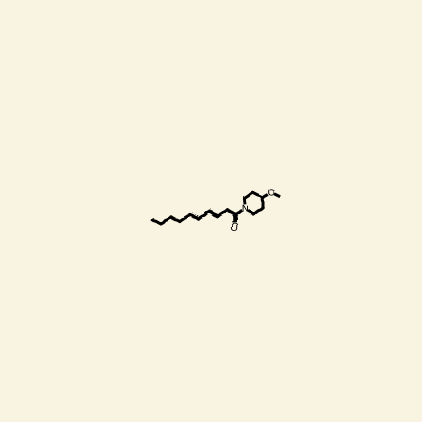 CCCCCCCCCC(=O)N1CCC(OC)CC1